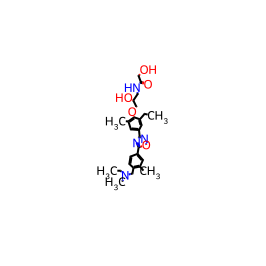 CCc1cc(-c2noc(-c3ccc(CN(C)CC)c(C)c3)n2)cc(C)c1OCC(O)CNC(=O)CO